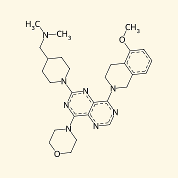 COc1cccc2c1CCN(c1ncnc3c(N4CCOCC4)nc(N4CCC(CN(C)C)CC4)nc13)C2